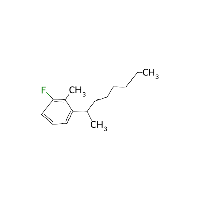 CCCCCCC(C)c1cccc(F)c1C